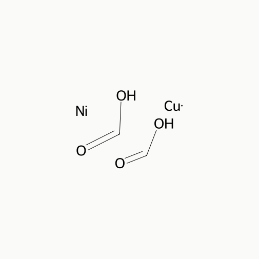 O=CO.O=CO.[Cu].[Ni]